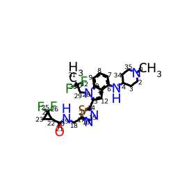 CN1CCC(Nc2cccc3c2cc(-c2nnc(CNC(=O)C4CC4(F)F)s2)n3CC(C)(F)F)CC1